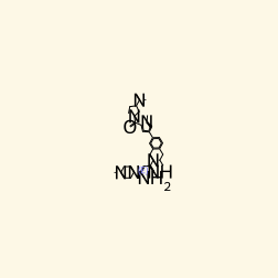 CC1Cc2ccc(-c3cc(C(=O)N4CCC(N(C)C)C4)n(C)c3)cc2CN1C(=N)/C=C(\N)N1CCN(C)CC1